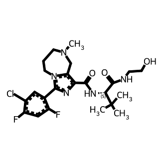 CN1CCCn2c(-c3cc(Cl)c(F)cc3F)nc(C(=O)N[C@H](C(=O)NCCO)C(C)(C)C)c2C1